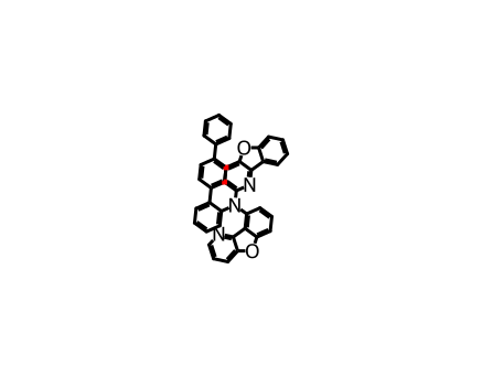 c1ccc(-c2ccc(-c3ccccc3N(c3ccc4oc5ccccc5c4n3)c3cccc4oc5cccnc5c34)cc2)cc1